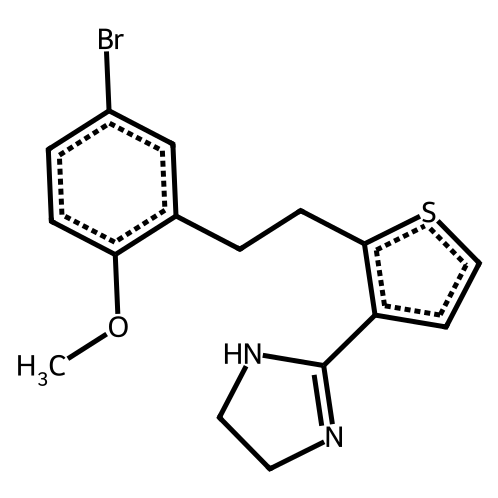 COc1ccc(Br)cc1CCc1sccc1C1=NCCN1